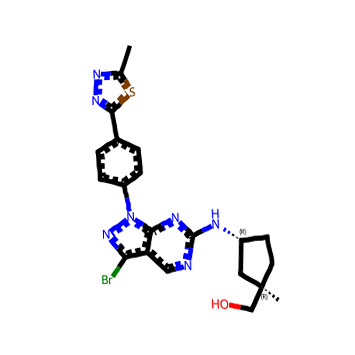 Cc1nnc(-c2ccc(-n3nc(Br)c4cnc(N[C@@H]5CC[C@@](C)(CO)C5)nc43)cc2)s1